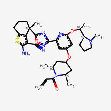 C=CC(=O)N1[C@H](C)CC(Oc2cc(O[C@@H](C)[C@@H]3CCCN3C)nc(-c3noc([C@@]4(C)CCCc5sc(N)c(C#N)c54)n3)c2)C[C@H]1C